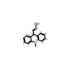 COc1ccccc1C(C=NO)c1ccccc1